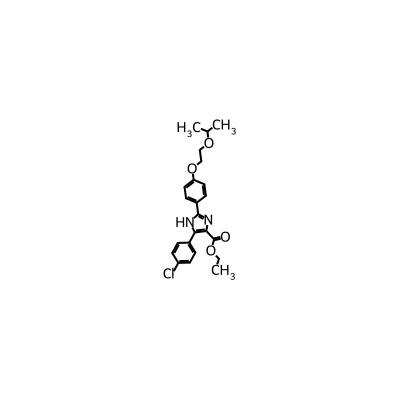 CCOC(=O)c1nc(-c2ccc(OCCOC(C)C)cc2)[nH]c1-c1ccc(Cl)cc1